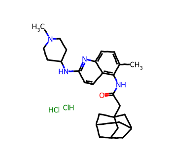 Cc1ccc2nc(NC3CCN(C)CC3)ccc2c1NC(=O)CC12CC3CC(CC(C3)C1)C2.Cl.Cl